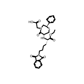 CCOC(=O)[C@H](CCCCN1C(=O)c2ccccc2C1=O)N[C@H]1CS[C@H](c2ccccc2)CN(CC(=O)O)C1=O